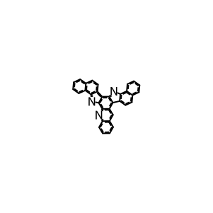 c1ccc2nc3c4c(c5c(c3cc2c1)-c1ccc2ccccc2c1N=5)=c1ccc2ccccc2c1=N4